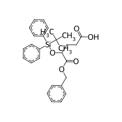 CC(C)(C)[Si](OC(CCC(=O)O)C(=O)OCc1ccccc1)(c1ccccc1)c1ccccc1